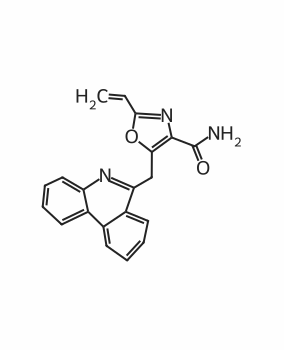 C=Cc1nc(C(N)=O)c(Cc2nc3ccccc3c3ccccc23)o1